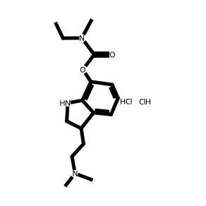 CCN(C)C(=O)Oc1cccc2c1NCC2CCN(C)C.Cl.Cl